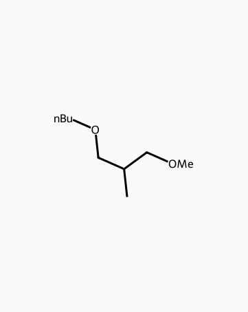 CCCCOCC(C)COC